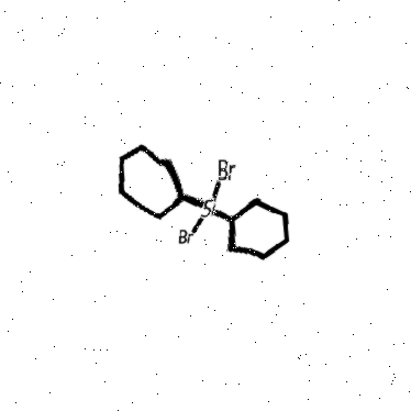 Br[Si](Br)(C1CCCCC1)C1CCCCC1